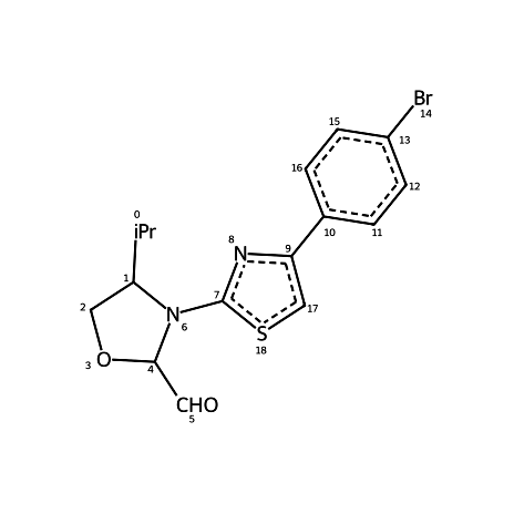 CC(C)C1COC(C=O)N1c1nc(-c2ccc(Br)cc2)cs1